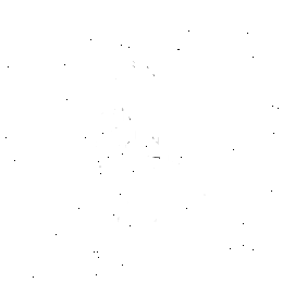 CC1(C)[C@H]2CCOc3ccccc3[C@H]2Nc2cncc[n+]21